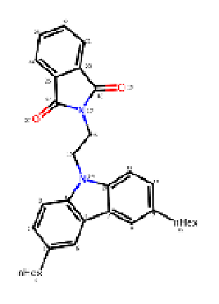 CCCCCCc1ccc2c(c1)c1cc(CCCCCC)ccc1n2CCN1C(=O)c2ccccc2C1=O